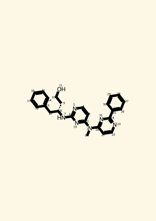 CN(c1ccnc(N[C@@H](CCO)Cc2ccccc2)n1)c1ccnc(-c2ccccc2)n1